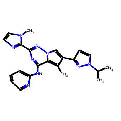 Cc1c(-c2ccn(C(C)C)n2)cn2nc(-c3nccn3C)nc(Nc3ccccn3)c12